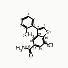 Cc1ccccc1-c1csc2c(Cl)cc(C(N)=O)cc12